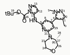 Cc1cnn(C)c1-c1cc(Nc2ccnn2C(=O)OC(C)(C)C)nc(N2CCOC[C@H]2C)c1